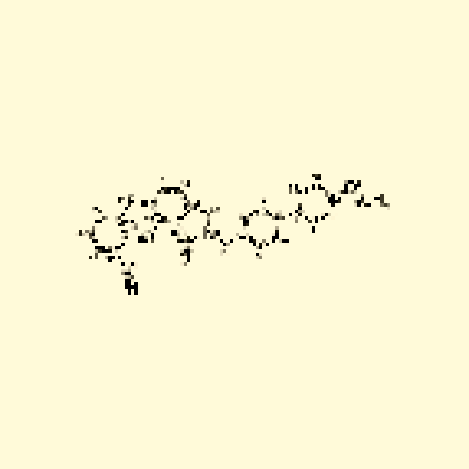 COc1ccc(-c2ccc(CN3Cc4cccc(Oc5c(F)cccc5C#N)c4C3=O)cc2)cc1